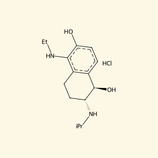 CCNc1c(O)ccc2c1CC[C@@H](NC(C)C)[C@@H]2O.Cl